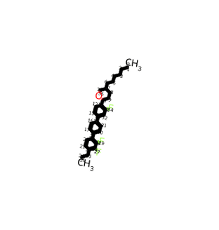 CCCCCCCC1CCC(c2ccc(-c3ccc(-c4ccc(CCC)c(F)c4F)cc3)cc2F)OC1